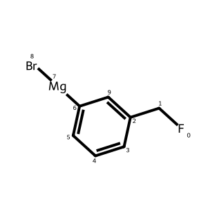 FCc1ccc[c]([Mg][Br])c1